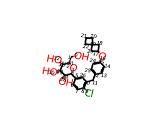 OC[C@H]1OC(c2ccc(Cl)c(Cc3ccc(OC4CC5(CCC5)C4)cc3)c2)[C@H](O)[C@@H](O)[C@@H]1O